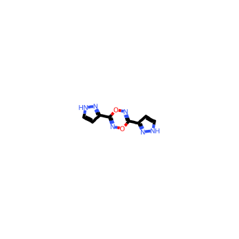 c1cc(C2=NOC(c3cc[nH]n3)=NO2)n[nH]1